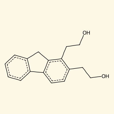 OCCc1ccc2c(c1CCO)Cc1ccccc1-2